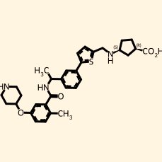 Cc1ccc(OC2CCNCC2)cc1C(=O)NC(C)c1cccc(-c2ccc(CN[C@H]3CC[C@@H](C(=O)O)C3)s2)c1